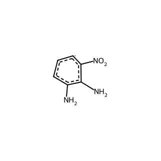 Nc1cc[c]c([N+](=O)[O-])c1N